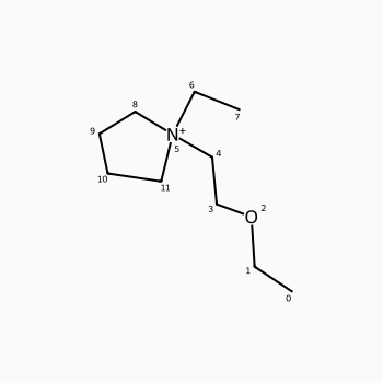 CCOCC[N+]1(CC)CCCC1